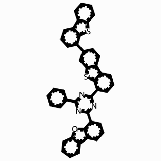 c1ccc(-c2nc(-c3cccc4c3oc3ccccc34)nc(-c3cccc4c3sc3cc(-c5cccc6c5sc5ccccc56)ccc34)n2)cc1